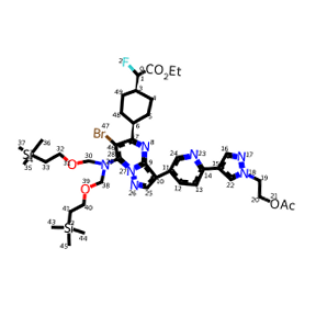 CCOC(=O)C(F)[C@H]1CC[C@@H](c2nc3c(-c4ccc(-c5cnn(CCOC(C)=O)c5)nc4)cnn3c(N(COCC[Si](C)(C)C)COCC[Si](C)(C)C)c2Br)CC1